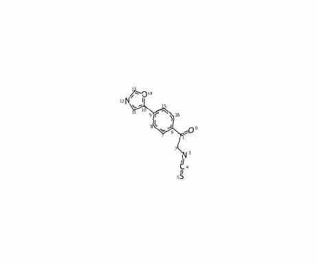 O=C(CN=C=S)c1ccc(-c2cnco2)cc1